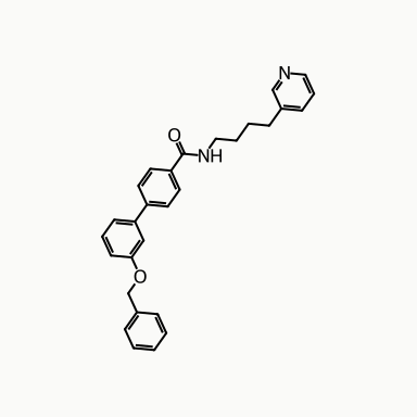 O=C(NCCCCc1cccnc1)c1ccc(-c2cccc(OCc3ccccc3)c2)cc1